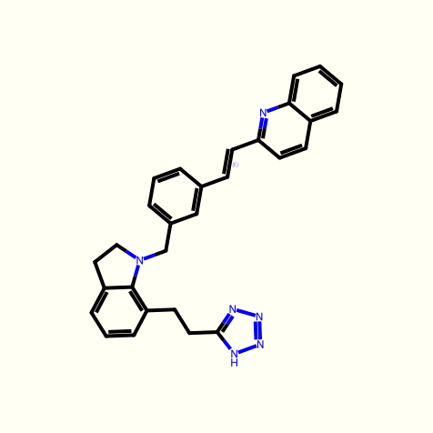 C(=C\c1ccc2ccccc2n1)/c1cccc(CN2CCc3cccc(CCc4nnn[nH]4)c32)c1